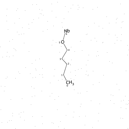 CCCCC[O][Nb]